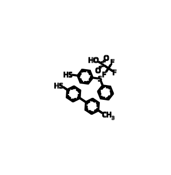 Cc1ccc(-c2ccc(S)cc2)cc1.O=S(=O)(O)C(F)(F)F.Sc1ccc(Sc2ccccc2)cc1